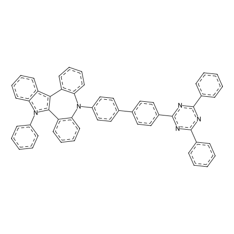 c1ccc(-c2nc(-c3ccccc3)nc(-c3ccc(-c4ccc(N5c6ccccc6-c6c(n(-c7ccccc7)c7ccccc67)-c6ccccc65)cc4)cc3)n2)cc1